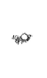 CC(C)(C)S(=O)(=O)CC1(NC(=O)N[C@H]2CCCCCCCC3C[C@@]3(C(=O)O)NC(=O)[C@@H]3CCCN3C2=O)CCCCC1